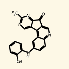 N#Cc1ccccc1Nc1ccc2ncc3c(c2c1)-c1cnc(C(F)(F)F)nc1C3=O